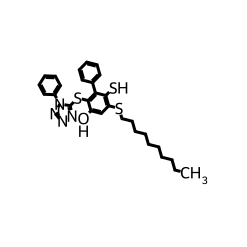 CCCCCCCCCCSc1cc(O)c(Sc2nnnn2-c2ccccc2)c(-c2ccccc2)c1S